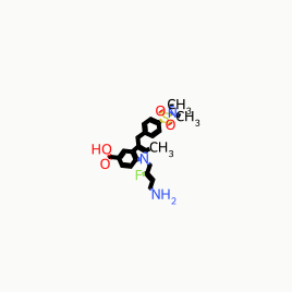 Cc1c(Cc2ccc(S(=O)(=O)N(C)C)cc2)c2cc(C(=O)O)ccc2n1C/C(F)=C/CN